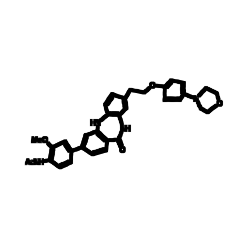 COc1cc(-c2ccc3c(c2)Nc2ccc(CCOc4ccc(N5CCOCC5)cc4)cc2NC3=O)ccc1NC(C)=O